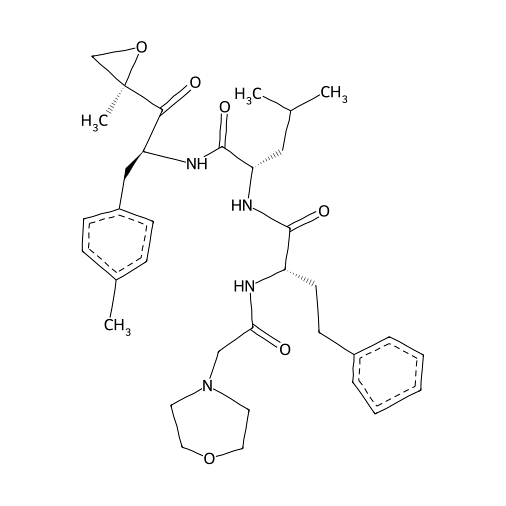 Cc1ccc(C[C@H](NC(=O)[C@H](CC(C)C)NC(=O)[C@H](CCc2ccccc2)NC(=O)CN2CCOCC2)C(=O)[C@@]2(C)CO2)cc1